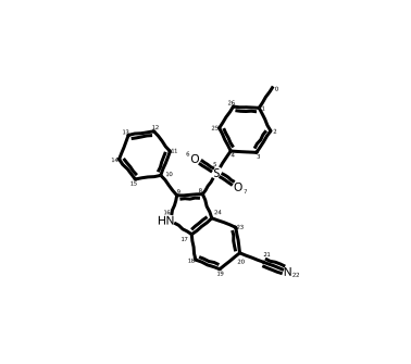 Cc1ccc(S(=O)(=O)c2c(-c3ccccc3)[nH]c3ccc(C#N)cc23)cc1